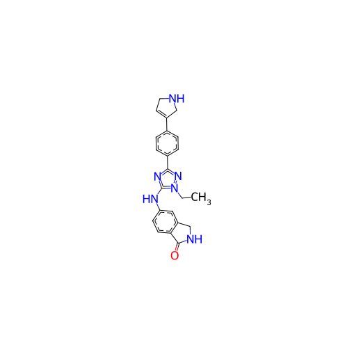 CCn1nc(-c2ccc(C3=CCNC3)cc2)nc1Nc1ccc2c(c1)CNC2=O